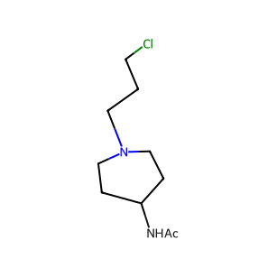 CC(=O)NC1CCN(CCCCl)CC1